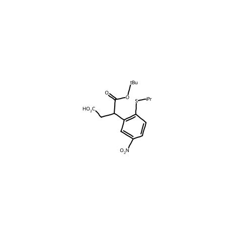 CC(C)Sc1ccc([N+](=O)[O-])cc1C(CC(=O)O)C(=O)OC(C)(C)C